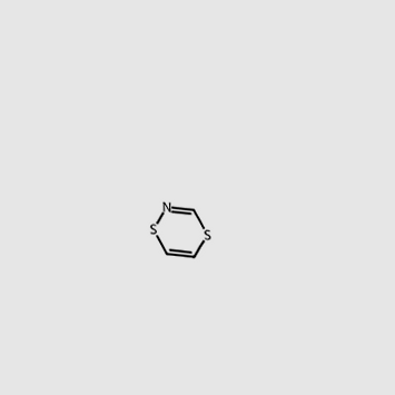 C1=CSN=CS1